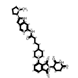 CN1CCC[C@@H]1c1cc2cnc(NC(=O)CCCC3CCN(c4cccc5c4C(=O)N(C4CCC(=O)NC4=O)C5=O)CC3)cc2[nH]1